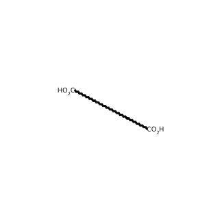 O=C(O)CCCCCCCCCCCC=CCCCCCCCCCCCCCCCCCCC=CCCCCCCCCCCCC(=O)O